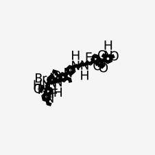 CCOc1cc(N2CCC(NCCNCCc3c(F)ccc4c3oc(=O)n4C3CCC(=O)NC3=O)CC2)c(CC)cc1Nc1ncc(Br)c(Nc2cc(F)c3nc(CC)ccc3c2P(C)(C)=O)n1